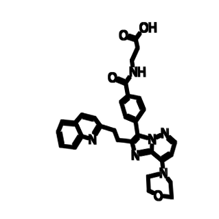 O=C(O)CCNC(=O)c1ccc(-c2c(CCc3ccc4ccccc4n3)nc3c(N4CCOCC4)ccnn23)cc1